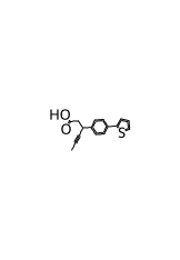 CC#CC(CC(=O)O)c1ccc(-c2cccs2)cc1